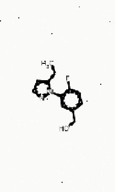 CCc1ccnn1-c1cc(CO)ccc1F